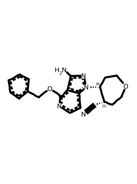 N#C[C@H]1CCOCC[C@H]1n1nc(N)c2c(OCc3ccccc3)nccc21